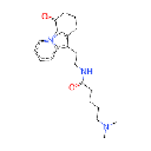 CN(C)CCCCC(=O)NCCc1c2c(n3ccccc13)C(=O)CCC2